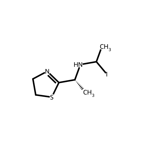 CC(I)N[C@H](C)C1=NCCS1